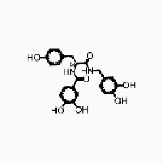 O=C(N[C@@H](Cc1ccc(O)cc1)C(=O)NCc1ccc(O)c(O)c1)c1ccc(O)c(O)c1